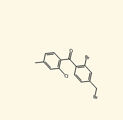 Cc1ccc(C(=O)c2ccc(CBr)cc2Br)c(Cl)c1